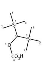 C[Si](C)(C)C(OC(=O)O)[Si](C)(C)C